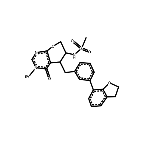 CC(C)n1cnc2c(c1=O)C(Cc1cccc(-c3cccc4c3OCC4)c1)C(NS(C)(=O)=O)CC2